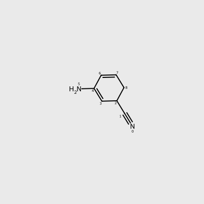 N#CC1C=C(N)C=CC1